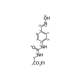 CCOC(=O)CNC(=O)Nc1ccc(C=NO)cc1